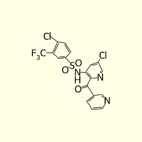 O=C(c1cccnc1)c1ncc(Cl)cc1NS(=O)(=O)c1ccc(Cl)c(C(F)(F)F)c1